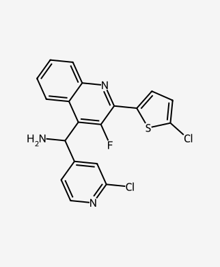 NC(c1ccnc(Cl)c1)c1c(F)c(-c2ccc(Cl)s2)nc2ccccc12